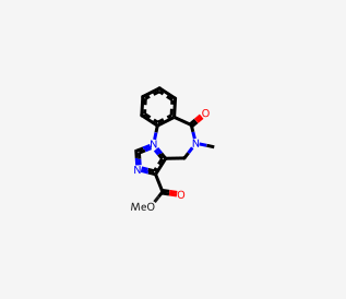 COC(=O)c1ncn2c1CN(C)C(=O)c1ccccc1-2